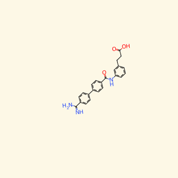 N=C(N)c1ccc(-c2ccc(C(=O)Nc3cccc(CCC(=O)O)c3)cc2)cc1